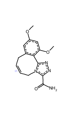 COc1cc2c(c(OC)c1)-c1nnc(C(N)=O)n1C/C=C\C2